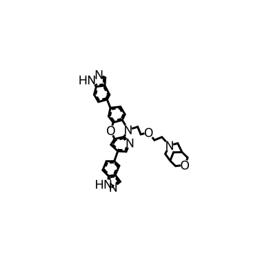 c1cc2c(cc1-c1ccc3[nH]ncc3c1)Oc1cc(-c3ccc4[nH]ncc4c3)cnc1N2CCOCCN1CC2COCC(C2)C1